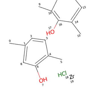 Cc1ccc(C)c(O)c1.Cc1cccc(C)c1O.Cl.[Zr]